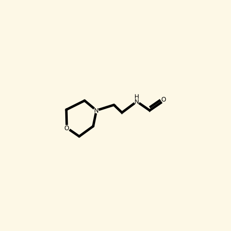 O=[C]N[CH][CH]N1CCOCC1